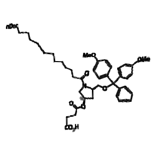 CCCCCCCCCCCCCCCCCCCCCC(=O)N1C[C@H](OC(=O)CCC(=O)O)CC1COC(c1ccccc1)(c1ccc(OC)cc1)c1ccc(OC)cc1